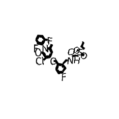 CCCS(=O)(=O)CC(=O)NCc1cc(F)ccc1COc1cc(C)n(-c2c(F)cccc2F)c(=O)c1Cl